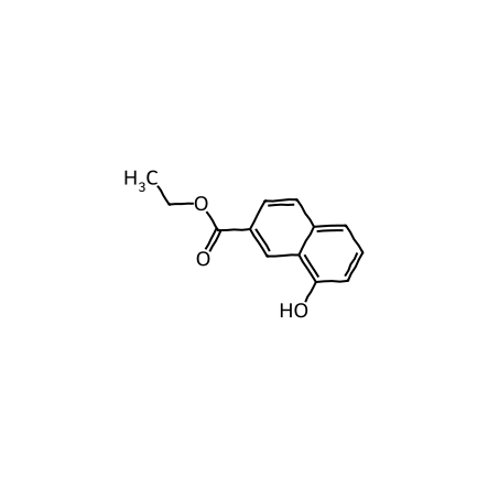 CCOC(=O)c1ccc2cccc(O)c2c1